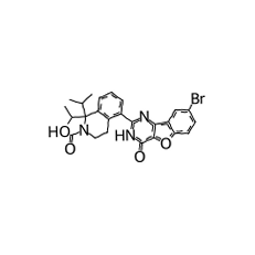 CC(C)C1(C(C)C)c2cccc(-c3nc4c(oc5ccc(Br)cc54)c(=O)[nH]3)c2CCN1C(=O)O